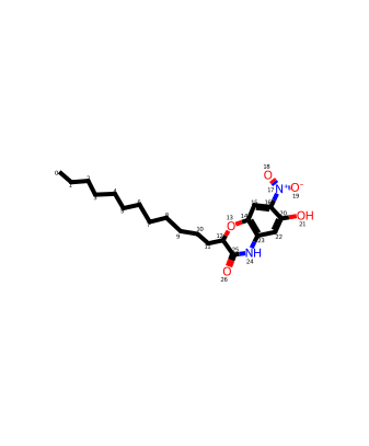 CCCCCCCCCCCCC1Oc2cc([N+](=O)[O-])c(O)cc2NC1=O